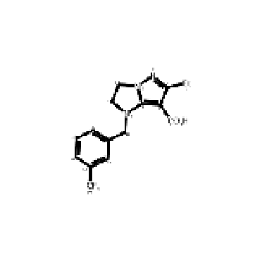 CCc1nn2c(c1C(=O)O)N(Cc1cccc(C(F)(F)F)c1)CC2